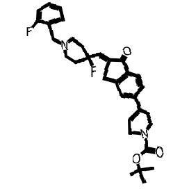 CC(C)(C)OC(=O)N1CC=C(c2ccc3c(c2)C/C(=C\C2(F)CCN(Cc4ccccc4F)CC2)C3=O)CC1